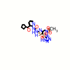 CS(=O)(=O)NCc1nc(NC(=O)Nc2ncccc2C(=O)C2CCCC2)sc1S(=O)(=O)c1nnn[nH]1